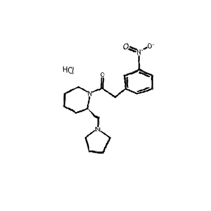 Cl.O=C(Cc1cccc([N+](=O)[O-])c1)N1CCCC[C@@H]1CN1CCCC1